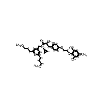 COCCCc1cc(CN(C(=O)C(C)Cc2ccc(OCCOc3c(Cl)cc(C)cc3Cl)cc2)C2CC2)cc(CCCOC)n1